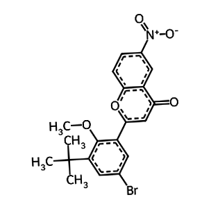 COc1c(-c2cc(=O)c3cc([N+](=O)[O-])ccc3o2)cc(Br)cc1C(C)(C)C